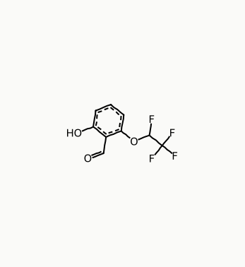 O=Cc1c(O)cccc1OC(F)C(F)(F)F